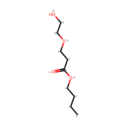 CCCCOC(=O)CCOCCO